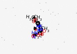 COc1c(C(=O)Nc2cnoc2)nc(-c2nc3ccc(C(=O)OC(C)(C)C)cc3n2C23CC(C2)C3)n(C)c1=O